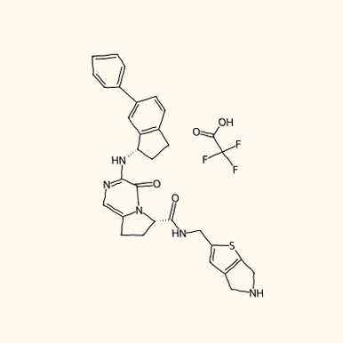 O=C(NCc1cc2c(s1)CNC2)[C@@H]1CCc2cnc(N[C@H]3CCc4ccc(-c5ccccc5)cc43)c(=O)n21.O=C(O)C(F)(F)F